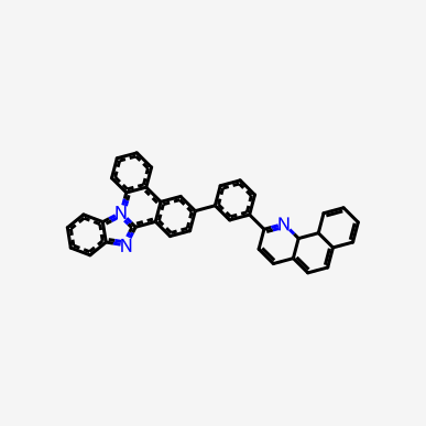 C1=CC2=CC=C3C=CC(c4cccc(-c5ccc6c(c5)c5ccccc5n5c7ccccc7nc65)c4)=NC3C2C=C1